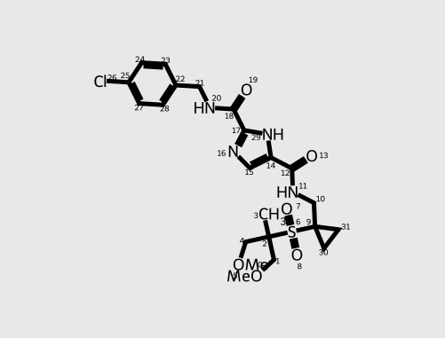 COCC(C)(COC)S(=O)(=O)C1(CNC(=O)c2cnc(C(=O)NCc3ccc(Cl)cc3)[nH]2)CC1